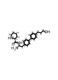 N[C@H](Cc1ccc(-c2ccc(CCCO)cc2)cc1)NC(=O)[C@@H]1CCCCN1